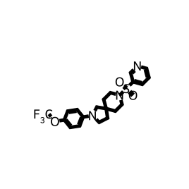 O=S(=O)(c1cccnc1)N1CCC2(CCN(c3ccc(OC(F)(F)F)cc3)C2)CC1